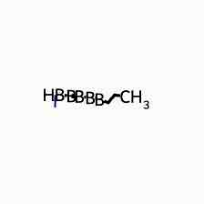 CCCB=BB=BBI